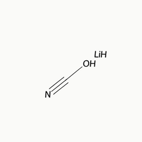 N#CO.[LiH]